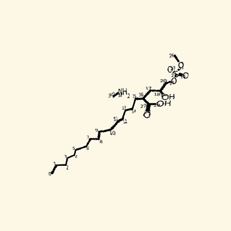 CCCCCCCCCCCCCCCCC(CC(O)COS(=O)(=O)OC)C(=O)O.CN